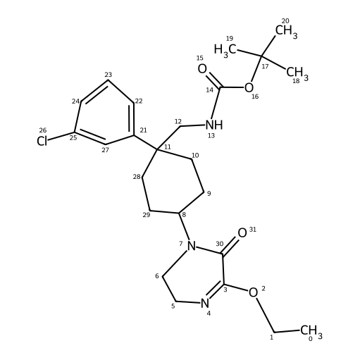 CCOC1=NCCN(C2CCC(CNC(=O)OC(C)(C)C)(c3cccc(Cl)c3)CC2)C1=O